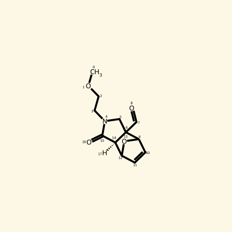 COCCN1CC2(C=O)C3C=CC(O3)[C@H]2C1=O